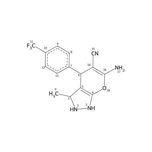 CC1NNC2=C1C(c1ccc(C(F)(F)F)cc1)C(C#N)=C(N)O2